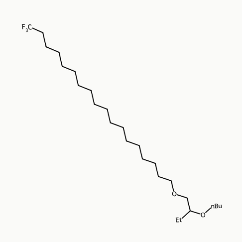 CCCCOC(CC)COCCCCCCCCCCCCCCCCCC(F)(F)F